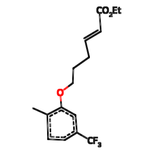 CCOC(=O)/C=C/CCCOc1cc(C(F)(F)F)ccc1C